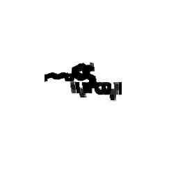 NC(Cc1cc(OCCCF)ccc1I)C(=O)O